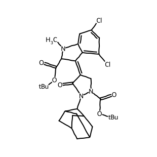 CN1c2cc(Cl)cc(Cl)c2C(=C2CN(C(=O)OC(C)(C)C)N(C3C4CC5CC(C4)CC3C5)C2=O)C1C(=O)OC(C)(C)C